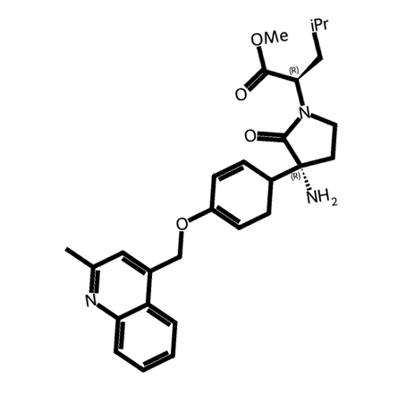 COC(=O)[C@@H](CC(C)C)N1CC[C@@](N)(C2C=CC(OCc3cc(C)nc4ccccc34)=CC2)C1=O